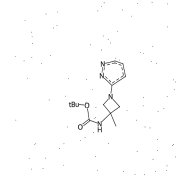 CC1(NC(=O)OC(C)(C)C)CN(c2cccnn2)C1